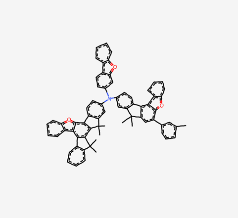 Cc1cccc(-c2cc3c(c4c2oc2ccccc24)-c2ccc(N(c4ccc5c(c4)C(C)(C)c4c6c(c7c(oc8ccccc87)c4-5)-c4ccccc4C6(C)C)c4ccc5c(c4)oc4ccccc45)cc2C3(C)C)c1